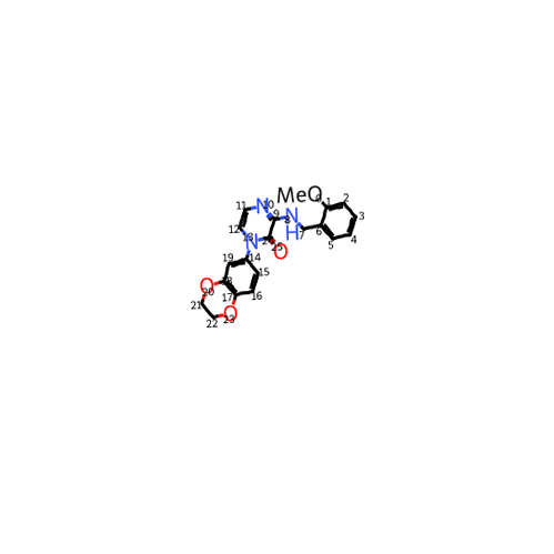 COc1ccccc1CNc1nccn(-c2ccc3c(c2)OCCO3)c1=O